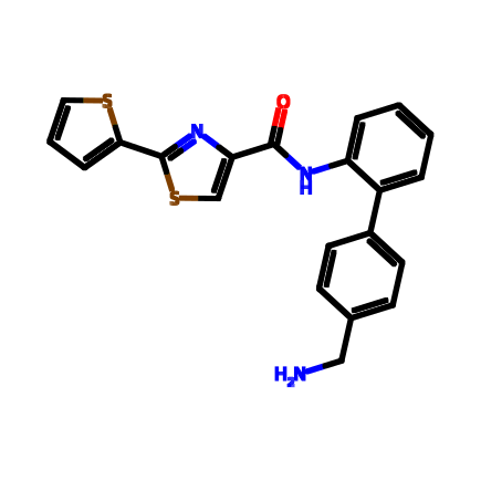 NCc1ccc(-c2ccccc2NC(=O)c2csc(-c3cccs3)n2)cc1